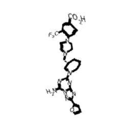 Nc1nc(N2CCC[C@@H](CN3CCN(c4ccc(C(=O)O)cc4C(F)(F)F)CC3)C2)nc2nc(-c3ccco3)nn12